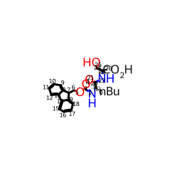 CCCC[C@H](NC(=O)OCC1c2ccccc2-c2ccccc21)C(=O)N[C@@H](CO)C(=O)O